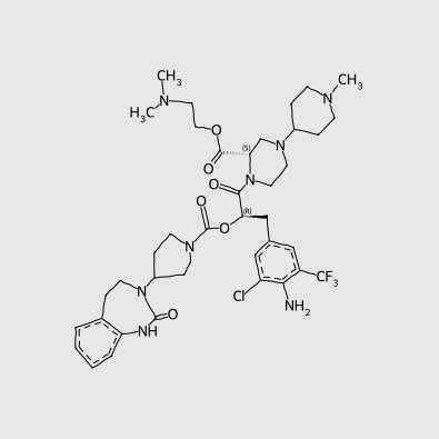 CN(C)CCOC(=O)[C@@H]1CN(C2CCN(C)CC2)CCN1C(=O)[C@@H](Cc1cc(Cl)c(N)c(C(F)(F)F)c1)OC(=O)N1CCC(N2CCc3ccccc3NC2=O)CC1